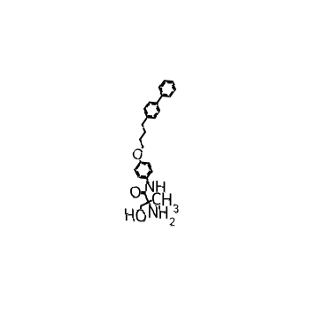 CC(N)(CO)C(=O)Nc1ccc(OCCCCc2ccc(-c3ccccc3)cc2)cc1